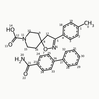 Cc1ccc(C2=NOC3(CCN(C(=O)O)CC3)C2)cc1.NC(=O)c1ccc(-c2ccccc2)cc1